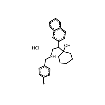 Cl.OC1(C(CNCc2ccc(F)cc2)c2ccc3ccccc3c2)CCCCC1